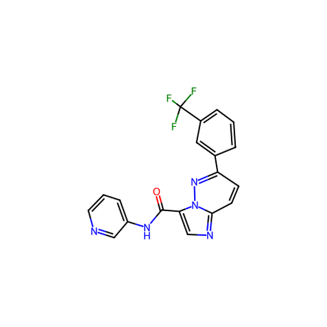 O=C(Nc1cccnc1)c1cnc2ccc(-c3cccc(C(F)(F)F)c3)nn12